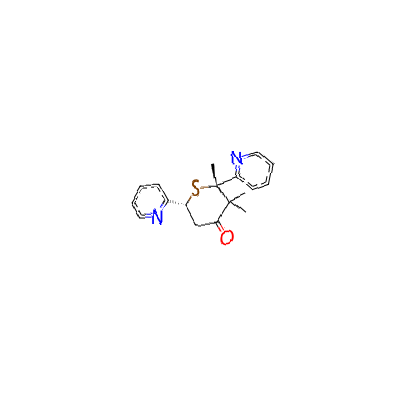 CC1(C)C(=O)C[C@H](c2ccccn2)S[C@]1(C)c1ccccn1